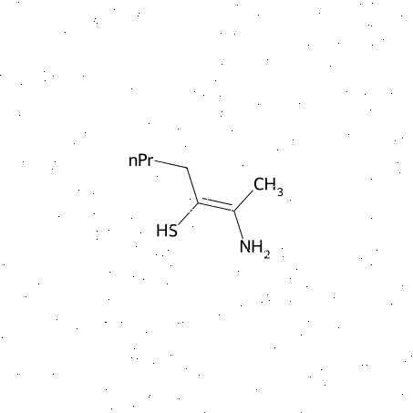 CCCC/C(S)=C(\C)N